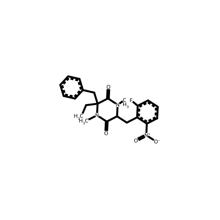 CCC1(Cc2ccccc2)C(=O)N(C)C(Cc2c(F)cccc2[N+](=O)[O-])C(=O)N1C